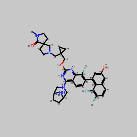 CN1CCC2(CCN(CC3(COc4nc(N5CC6CCC(C5)N6)c5ccc(-c6cc(O)cc7ccc(F)c(F)c67)c(F)c5n4)CC3)C2)C1=O